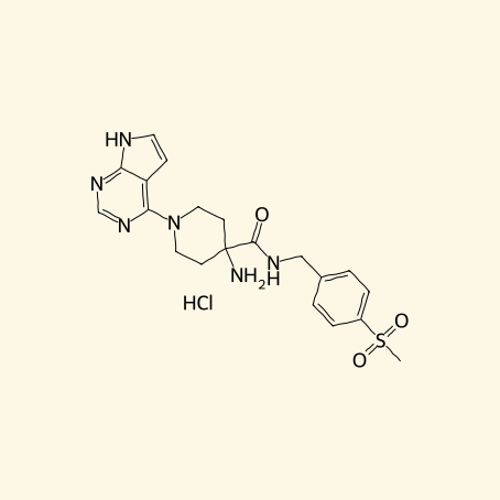 CS(=O)(=O)c1ccc(CNC(=O)C2(N)CCN(c3ncnc4[nH]ccc34)CC2)cc1.Cl